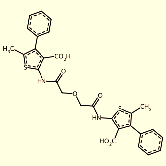 Cc1sc(NC(=O)COCC(=O)Nc2sc(C)c(-c3ccccc3)c2C(=O)O)c(C(=O)O)c1-c1ccccc1